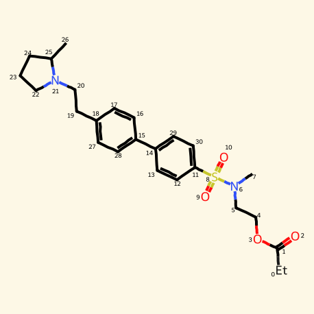 CCC(=O)OCCN(C)S(=O)(=O)c1ccc(-c2ccc(CCN3CCCC3C)cc2)cc1